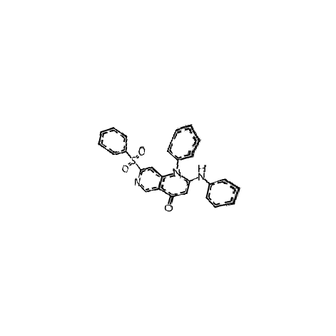 O=c1cc(Nc2ccccc2)n(-c2ccccc2)c2cc(S(=O)(=O)c3ccccc3)ncc12